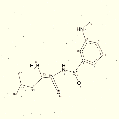 CNc1cccc([S+]([O-])NC(=O)C(N)CC(C)C)c1